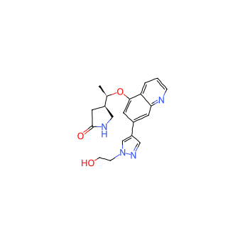 C[C@@H](Oc1cc(-c2cnn(CCO)c2)cc2ncccc12)[C@H]1CNC(=O)C1